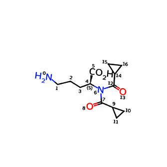 NCCC[C@@H](C(=O)O)N(C(=O)C1CC1)C(=O)C1CC1